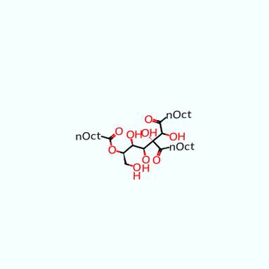 CCCCCCCCC(=O)O[C@H](CO)[C@@H](O)[C@H](O)[C@](O)(C(=O)CCCCCCCC)C(O)C(=O)CCCCCCCC